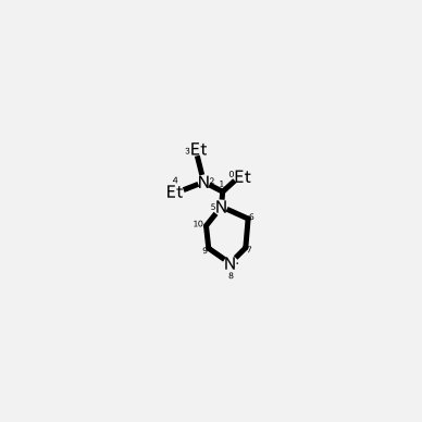 CCC(N(CC)CC)N1CC[N]CC1